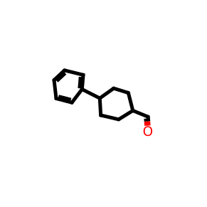 O=CC1CCC(c2ccccc2)CC1